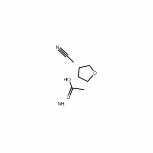 C1CCOC1.CC#N.CC(=O)O.N